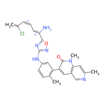 C=C(Cl)/C=C\C=C(/N)c1nc(Nc2ccc(C)c(-c3cc4cnc(C)cc4n(C)c3=O)c2)no1